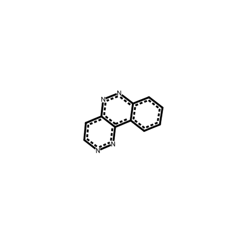 c1ccc2c(c1)nnc1ccnnc12